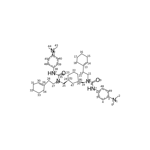 CN(C)c1ccc(NC(=O)N(CCC2=CCCCC2)C[C@@H]2CCC[C@H](CN(CCC3=CCCCC3)C(=O)Nc3ccc(N(C)C)cc3)C2)cc1